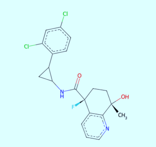 C[C@]1(O)CC[C@@](F)(C(=O)NC2CC2c2ccc(Cl)cc2Cl)c2cccnc21